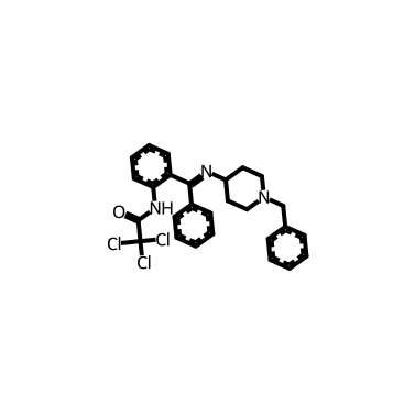 O=C(Nc1ccccc1C(=NC1CCN(Cc2ccccc2)CC1)c1ccccc1)C(Cl)(Cl)Cl